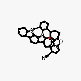 N#Cc1ccc2oc3ccc(-c4cccc(C#N)c4-n4c5ccccc5c5ccc6c7ccccc7sc6c54)cc3c2c1